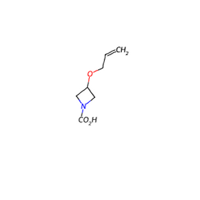 C=CCOC1CN(C(=O)O)C1